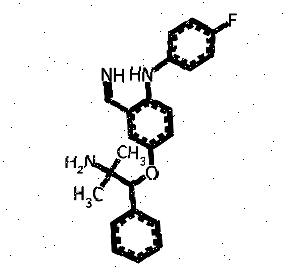 CC(C)(N)C(Oc1ccc(Nc2ccc(F)cc2)c(C=N)c1)c1ccccc1